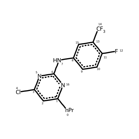 CCCc1cc(Cl)nc(Nc2ccc(F)c(C(F)(F)F)c2)n1